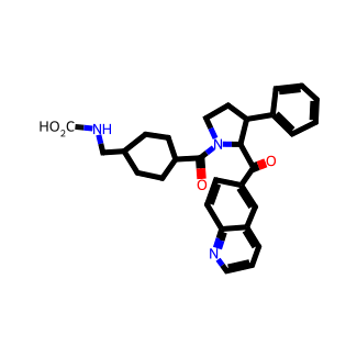 O=C(O)NCC1CCC(C(=O)N2CCC(c3ccccc3)C2C(=O)c2ccc3ncccc3c2)CC1